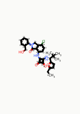 CCc1ccc([C@H](Nc2c(Nc3ccc(Cl)c4c3C(=O)N(c3ccccc3CO)C4)c(=O)c2=O)C(C)(C)C)o1